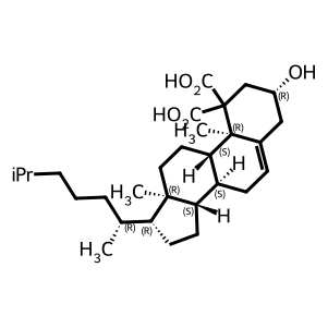 CC(C)CCC[C@@H](C)[C@H]1CC[C@H]2[C@@H]3CC=C4C[C@@H](O)CC(C(=O)O)(C(=O)O)[C@]4(C)[C@H]3CC[C@]12C